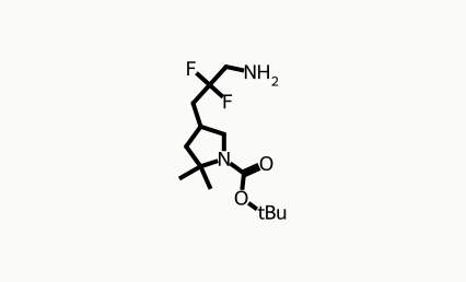 CC(C)(C)OC(=O)N1CC(CC(F)(F)CN)CC1(C)C